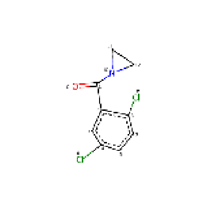 O=C(c1cc(Cl)ccc1Cl)N1CC1